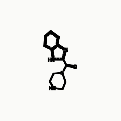 O=C(c1nc2ccccc2[nH]1)N1CCNCC1